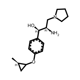 C[C@@H]1CC1Oc1ccc([C@@H](O)[C@H](N)CN2CCCC2)cc1